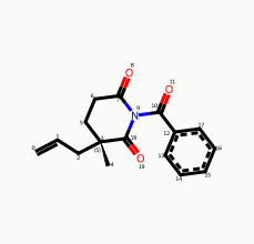 C=CC[C@]1(C)CCC(=O)N(C(=O)c2ccccc2)C1=O